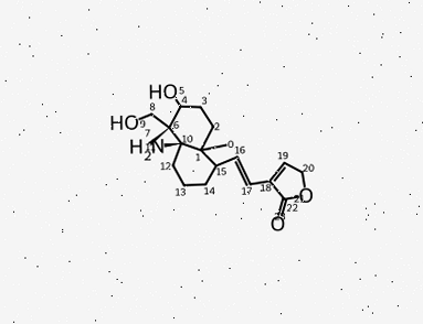 CC12CCC(O)[C@@](C)(CO)[C@@]1(N)CCCC2/C=C/C1=CCOC1=O